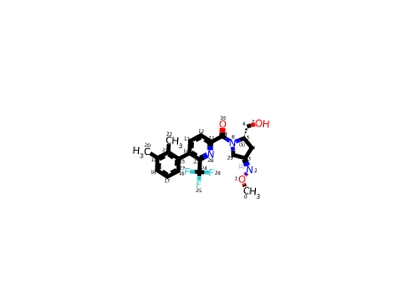 CO/N=C1/C[C@@H](CO)N(C(=O)c2ccc(-c3cccc(C)c3C)c(C(F)(F)F)n2)C1